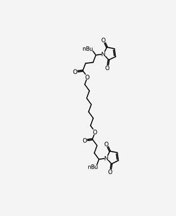 CCCCC(CCC(=O)OCCCCCCCOC(=O)CCC(CCCC)N1C(=O)C=CC1=O)N1C(=O)C=CC1=O